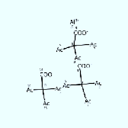 CC(=O)C(C(C)=O)(C(C)=O)C(=O)[O-].CC(=O)C(C(C)=O)(C(C)=O)C(=O)[O-].CC(=O)C(C(C)=O)(C(C)=O)C(=O)[O-].[Al+3]